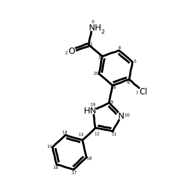 NC(=O)c1ccc(Cl)c(-c2ncc(-c3ccccc3)[nH]2)c1